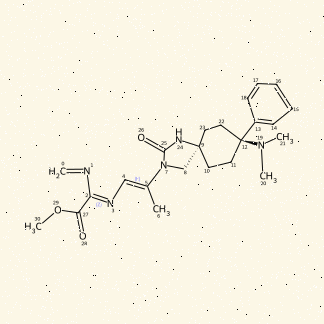 C=N/C(=N\C=C(/C)N1C[C@]2(CC[C@](c3ccccc3)(N(C)C)CC2)NC1=O)C(=O)OC